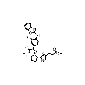 CC(=O)C(ON1CCC[C@H]1c1ncc(CCC(=O)O)s1)c1ccc(Nc2nc3ccccc3o2)c(Cl)c1